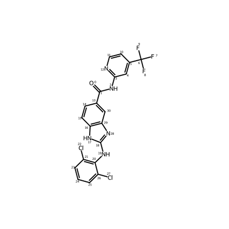 O=C(Nc1cc(C(F)(F)F)ccn1)c1ccc2[nH]c(Nc3c(Cl)cccc3Cl)nc2c1